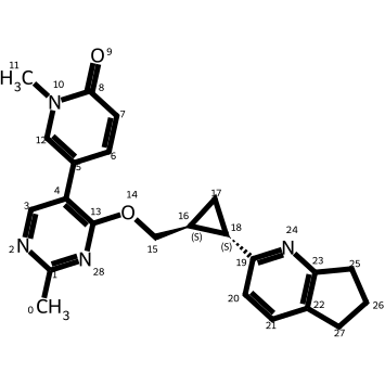 Cc1ncc(-c2ccc(=O)n(C)c2)c(OC[C@H]2C[C@@H]2c2ccc3c(n2)CCC3)n1